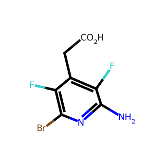 Nc1nc(Br)c(F)c(CC(=O)O)c1F